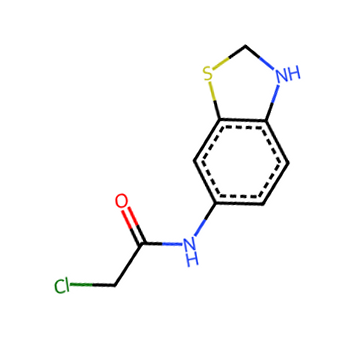 O=C(CCl)Nc1ccc2c(c1)SCN2